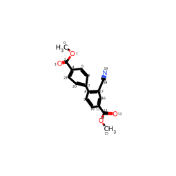 COC(=O)c1ccc(-c2ccc(C(=O)OC)cc2C#N)cc1